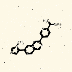 C=C(NC)c1ccc(-c2cc3cc(-c4cncn4C)ccc3cn2)cn1